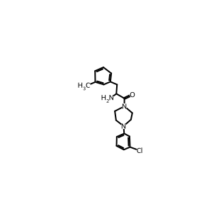 Cc1cccc(CC(N)C(=O)N2CCN(c3cccc(Cl)c3)CC2)c1